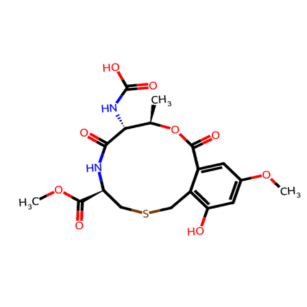 COC(=O)[C@@H]1CSCc2c(O)cc(OC)cc2C(=O)O[C@H](C)[C@@H](NC(=O)O)C(=O)N1